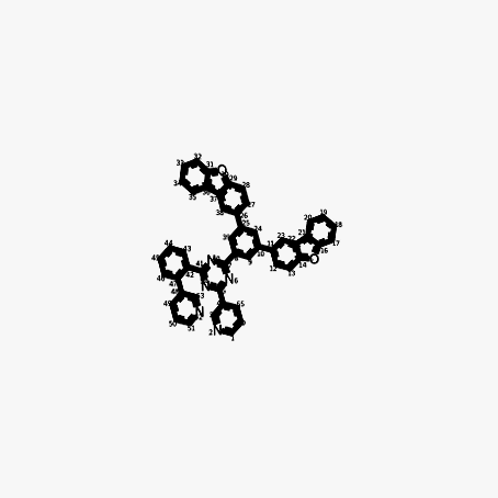 c1cncc(-c2nc(-c3cc(-c4ccc5oc6ccccc6c5c4)cc(-c4ccc5oc6ccccc6c5c4)c3)nc(-c3ccccc3-c3cccnc3)n2)c1